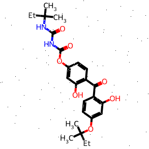 CCC(C)(C)NC(=O)NC(=O)Oc1ccc(C(=O)c2ccc(OC(C)(C)CC)cc2O)c(O)c1